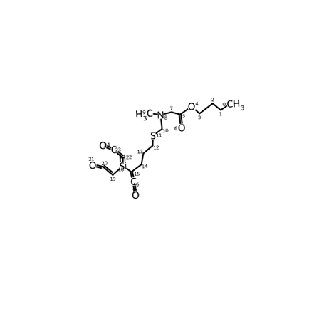 CCCCOC(=O)CN(C)CSCCCC(=C=O)[SiH](C=C=O)C=C=O